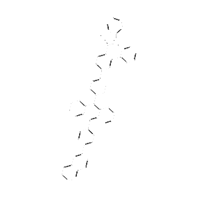 C1=C(c2ccc3c(c2)c2ccccc2n2c4ccccc4nc32)CCC(c2c3c(c(-c4ccc(-c5ccc6ccccc6c5)cc4)c4ccccc24)=CCCC=3)=C1